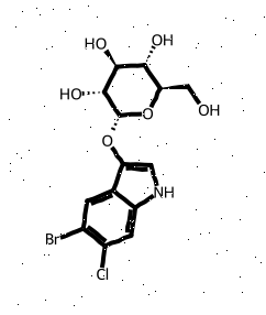 OC[C@H]1O[C@H](Oc2c[nH]c3cc(Cl)c(Br)cc23)[C@H](O)[C@@H](O)[C@@H]1O